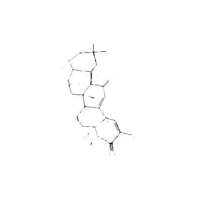 [C-]#[N+]C1=C[C@]2(C)C3=CC(=O)[C@]4(O)[C@@H]5CC(C)(C)CC[C@]5(CC)CC[C@@]4(C)[C@]3(C)CC[C@H]2[C@H](C)C1=O